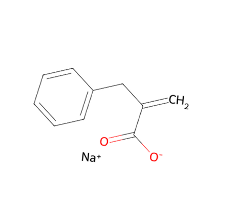 C=C(Cc1ccccc1)C(=O)[O-].[Na+]